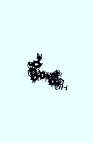 COc1cc(C#N)ccc1[C@H]1COc2cccc(C3CCN(Cc4nc5ccc(C(=O)O)cc5n4CC4(CF)CC4)CC3)c2O1